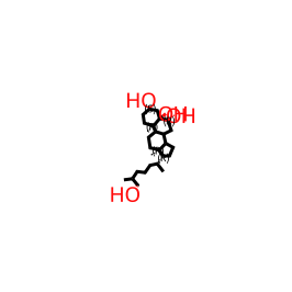 CC(CO)CCCC(C)[C@H]1CCC2C3C[C@@H](O)C4(O)C[C@@H](O)CC[C@]4(C)C3CC[C@@]21C